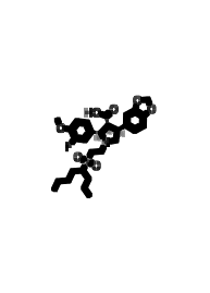 CCCCC(CCC)S(=O)(=O)CCN1C[C@H](c2ccc3c(c2)OCO3)[C@@H](C(=O)O)[C@H]1c1ccc(OC)c(F)c1